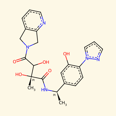 C[C@@H](NC(=O)[C@](C)(O)C(O)C(=O)N1Cc2cccnc2C1)c1ccc(-n2cccn2)c(O)c1